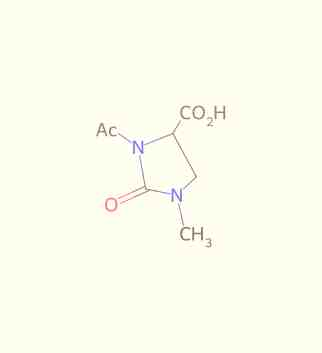 CC(=O)N1C(=O)N(C)CC1C(=O)O